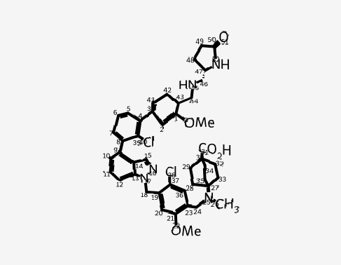 COC1=CC(c2cccc(-c3cccc4c3cnn4Cc3cc(OC)c(CN(C)C45CCC(C(=O)O)(CC4)CC5)cc3Cl)c2Cl)=CCC1CNC[C@@H]1CCC(=O)N1